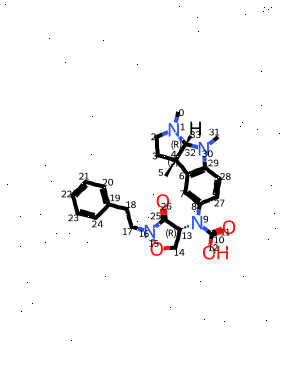 CN1CC[C@@]2(C)c3cc(N(C(=O)O)[C@@H]4CON(CCc5ccccc5)C4=O)ccc3N(C)[C@@H]12